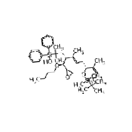 C/C=C(/C)[C@@H](C/C=C(\C)[C@@H](CC(C)(C)[Si](O)(c1ccccc1)c1ccccc1)[C@H](OCCCC)C1CO1)O[Si](C)(C)C(C)(C)C